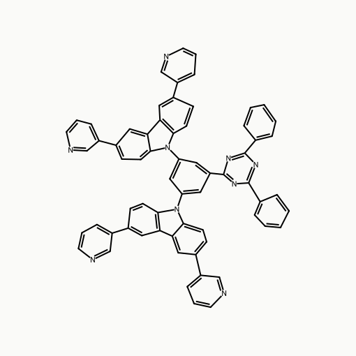 c1ccc(-c2nc(-c3ccccc3)nc(-c3cc(-n4c5ccc(-c6cccnc6)cc5c5cc(-c6cccnc6)ccc54)cc(-n4c5ccc(-c6cccnc6)cc5c5cc(-c6cccnc6)ccc54)c3)n2)cc1